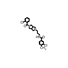 Cc1ccc(C(=O)NCCCN2CC3CN(C(=O)c4ccccc4Cl)CC3C2)cc1Cl